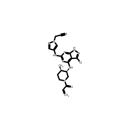 C=CC(=O)N1CC[C@@H](C)[C@@H](Nc2nc(Nc3cnn(CC#N)c3)nc3[nH]nc(Cl)c23)C1